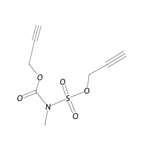 C#CCOC(=O)N(C)S(=O)(=O)OCC#C